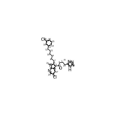 C[C@@H](CC(=O)c1c(CCCCCCc2cccc(Cl)c2)n(C)c2ncc(Cl)cc12)Cc1nnn[nH]1